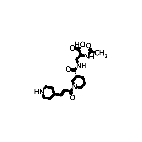 CC(=O)NC(CNC(=O)[C@@H]1CCCN(C(=O)/C=C/C2CCNCC2)C1)C(=O)O